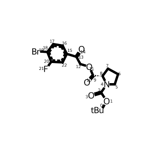 CC(C)(C)OC(=O)N1CCC[C@H]1C(=O)OCC(=O)c1ccc(Br)c(F)c1